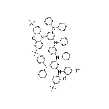 CC(C)(C)c1ccc2c(c1)Oc1cc(C(C)(C)C)ccc1N2c1cc(N(c2ccccc2)c2ccccc2)cc(N(c2ccccc2)c2cccc(N(c3ccccc3)c3cc(N(c4ccccc4)c4ccccc4)cc(N4c5ccc(C(C)(C)C)cc5Oc5cc(C(C)(C)C)ccc54)c3)c2)c1